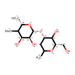 COC1[C@H](C(=O)O)O[C@H](O[C@H]2CC(C)O[C@@H](CO)C2O)[C@@H](O)[C@H]1O